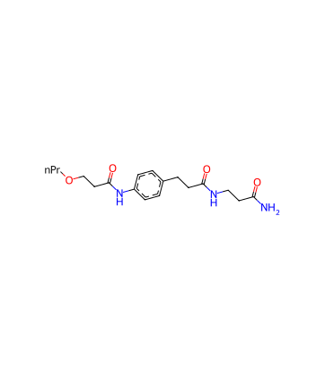 CCCOCCC(=O)Nc1ccc(CCC(=O)NCCC(N)=O)cc1